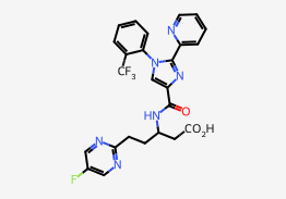 O=C(O)CC(CCc1ncc(F)cn1)NC(=O)c1cn(-c2ccccc2C(F)(F)F)c(-c2ccccn2)n1